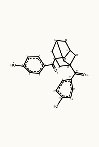 O=C(c1ccc(O)cc1)C12CC3CC(C1)CC(C(=O)c1ccc(O)cc1)(C3)C2